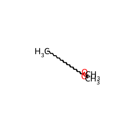 CCCCCCCCCC=CC=CC=CC=CC=CC=CC(=O)OC(C)C